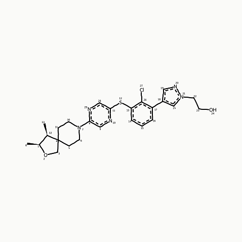 C[C@@H]1OCC2(CCN(c3cnc(Sc4cccc(-c5cnn(CCO)c5)c4Cl)cn3)CC2)[C@@H]1C